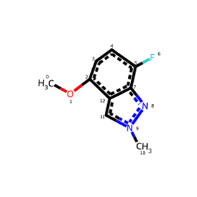 COc1ccc(F)c2nn(C)cc12